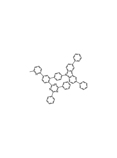 Cc1cccc(-c2ccc(-c3nc(-c4ccccc4)nc(-c4ccccc4)n3)c(-c3ccc(-n4c5ccc(-c6ccccc6)cc5c5cc(-c6ccccc6)ccc54)cc3)c2)n1